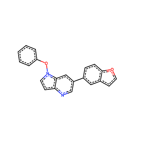 c1ccc(On2ccc3ncc(-c4ccc5occc5c4)cc32)cc1